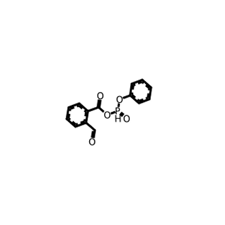 O=Cc1ccccc1C(=O)O[PH](=O)Oc1ccccc1